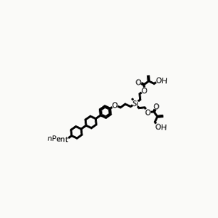 C=C(CO)C(=O)OCC[Si](C)(CCCOc1ccc(C2CCC(C3CCC(CCCCC)CC3)CC2)cc1)CCOC(=O)C(=C)CO